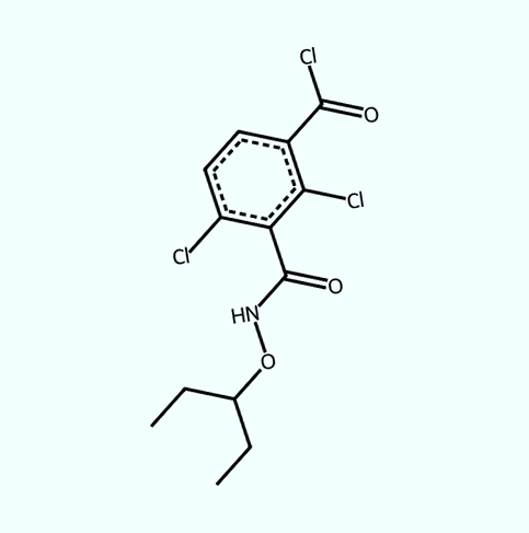 CCC(CC)ONC(=O)c1c(Cl)ccc(C(=O)Cl)c1Cl